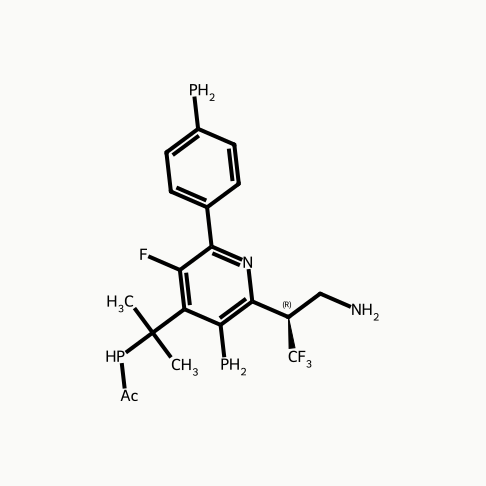 CC(=O)PC(C)(C)c1c(F)c(-c2ccc(P)cc2)nc([C@@H](CN)C(F)(F)F)c1P